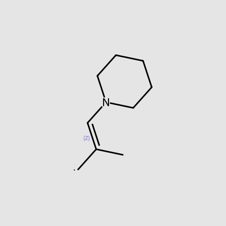 [CH2]/C(C)=C/N1CCCCC1